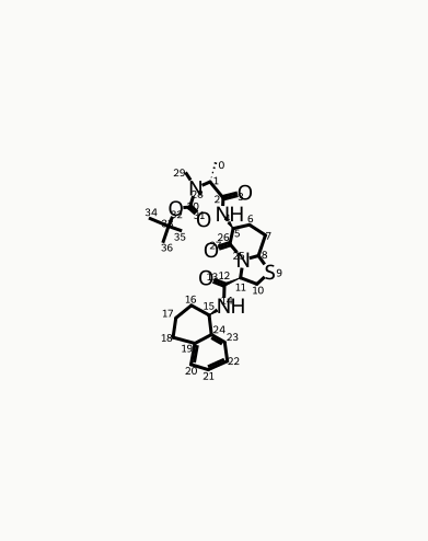 C[C@H](C(=O)N[C@H]1CCC2SC[C@@H](C(=O)N[C@@H]3CCCc4ccccc43)N2C1=O)N(C)C(=O)OC(C)(C)C